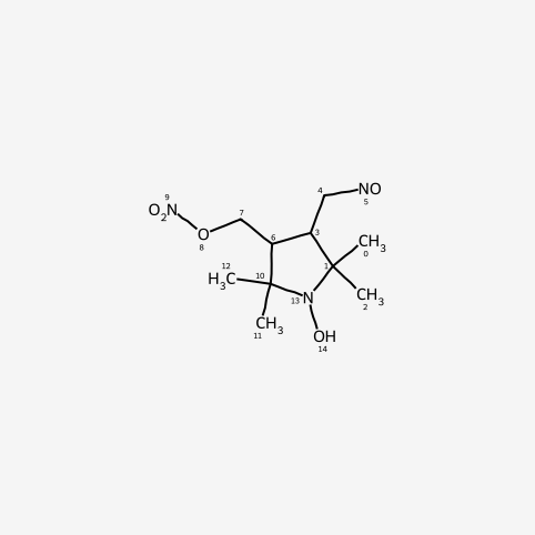 CC1(C)C(CN=O)C(CO[N+](=O)[O-])C(C)(C)N1O